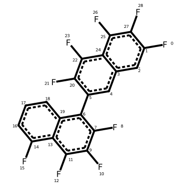 Fc1[c]c2cc(-c3c(F)c(F)c(F)c4c(F)cccc34)c(F)c(F)c2c(F)c1F